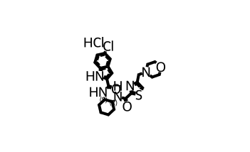 Cl.O=C(N[C@H]1CCCC[C@H]1NC(=O)c1nc(CN2CCOCC2)cs1)c1cc2cc(Cl)ccc2[nH]1